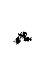 CC(=O)c1ccc2c(c1C)CC[C@@H]2NC(=O)c1cc(C(=O)NCc2ccc3c(c2)OCC(=O)N3)nc2ccnn12